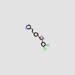 Clc1ccc(-c2cc(-c3ccc(C=Cc4cccnc4)cc3)on2)cc1Cl